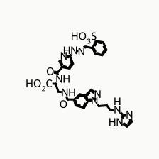 O=C(NCC(NC(=O)c1ccc(NN=Cc2ccccc2S(=O)(=O)O)nc1)C(=O)O)c1ccc2c(cnn2CCCNc2ncc[nH]2)c1